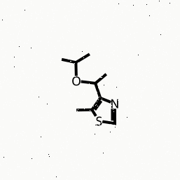 Cc1scnc1C(C)OC(C)C